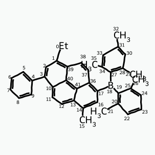 CCc1cc(-c2ccccc2)c2ccc3c(C)cc(B(c4c(C)cccc4C)c4c(C)cc(C)cc4C)c4ccc1c2c34